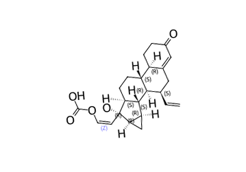 C=C[C@@H]1CC2=CC(=O)CC[C@@H]2[C@H]2CC[C@@]3(C)[C@@H]([C@H]4C[C@H]4[C@@]3(O)/C=C\OC(=O)O)[C@@H]21